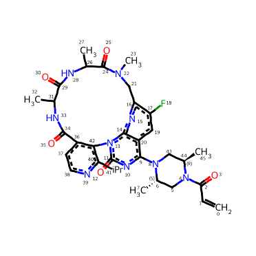 C=CC(=O)N1C[C@H](C)N(c2nc(=O)n3c4nc(c(F)cc24)CN(C)C(=O)C(C)NC(=O)C(C)NC(=O)c2ccnc(C(C)C)c2-3)C[C@H]1C